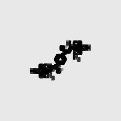 CC(C)(CC[S+]([O-])c1ccc([S+]([O-])CCC(C)(C)S(=O)(=O)O)cc1)S(=O)(=O)O